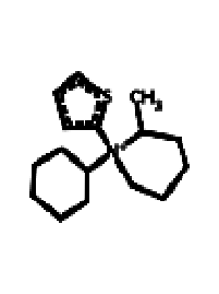 CC1CCCC[N+]1(c1cccs1)C1CCCCC1